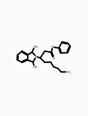 CCCCCCC(CC(=O)Oc1ccccc1)N1C(O)c2ccccc2C1O